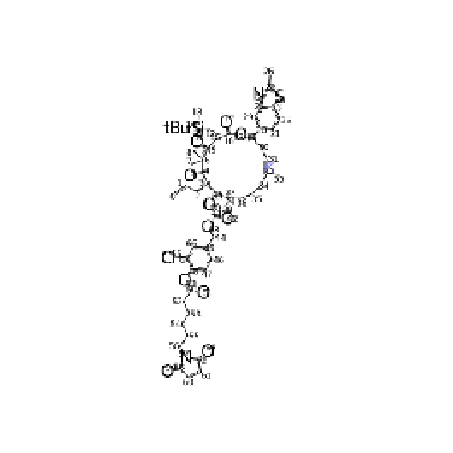 C=CC[C@H]1C(=O)C(C)(C)[C@@H](O[Si](C)(C)C(C)(C)C)CC(=O)O[C@H](c2ccc3sc(C)nc3c2)C/C=C(/C)CCC[C@H](C)[C@@H]1OC(=O)OCc1ccc(OC(=O)CCCCCN2C(=O)C=CC2=O)c(Cl)c1